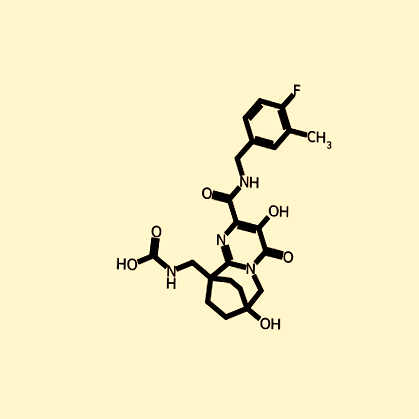 Cc1cc(CNC(=O)c2nc3n(c(=O)c2O)CC2(O)CCC3(CNC(=O)O)CC2)ccc1F